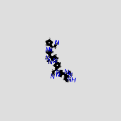 N#CC[C@H](C1CCCC1)n1cc(-c2ncnc3c2ccn3C2CCC([C@H](CC#N)n3cc(-c4ncnc5[nH]ccc45)cn3)C2)cn1